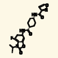 CC(C)n1c(=O)oc2cc(NC(=O)[C@H]3CC[C@@H](NC(=O)c4ccon4)CC3)cc(F)c21